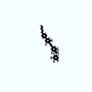 C/C=C/CCc1ccc(-c2cc(F)c(C#Cc3cc(F)c(C(F)(F)Oc4cc(F)c(F)c(F)c4)c(F)c3)c(F)c2)cc1